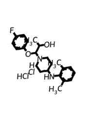 Cc1cccc(C)c1NC1CCN(C(Oc2ccc(F)cc2)C(C)O)CC1.Cl.Cl